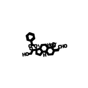 CCC[C@@]1(C)/C(=C\C=O)CC[C@H]2C3CC[C@](OC(=O)c4ccccc4)(C(=O)CO)[C@@]3(C)CC[C@@H]21